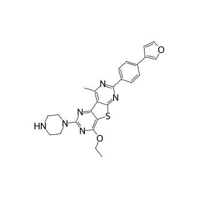 CCOc1nc(N2CCNCC2)nc2c1sc1nc(-c3ccc(-c4ccoc4)cc3)nc(C)c12